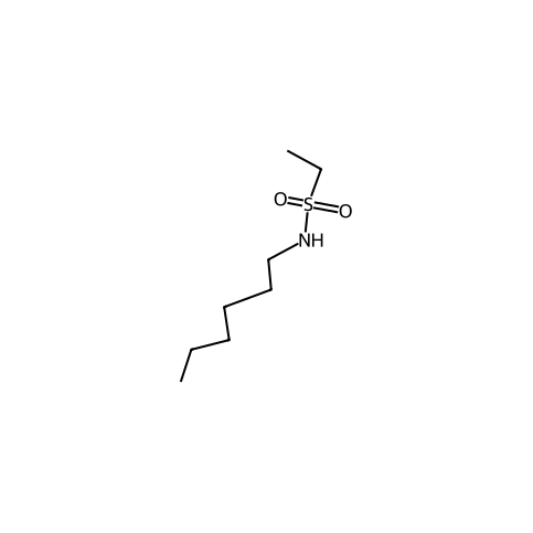 CCCCCCNS(=O)(=O)CC